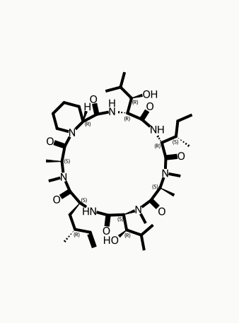 C=C[C@H](C)C[C@@H]1NC(=O)[C@H]([C@H](O)C(C)C)N(C)C(=O)[C@H](C)N(C)C(=O)[C@@H]([C@@H](C)CC)NC(=O)[C@@H]([C@H](O)C(C)C)NC(=O)[C@H]2CCCCN2C(=O)[C@H](C)N(C)C1=O